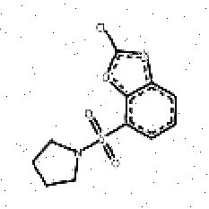 O=S(=O)(c1cccc2nc(Cl)oc12)N1CCCC1